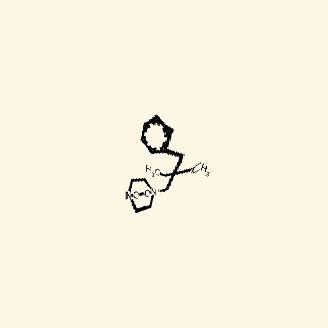 CC(C)(Cc1ccccc1)C[N+]12CCN(CC1)CC2